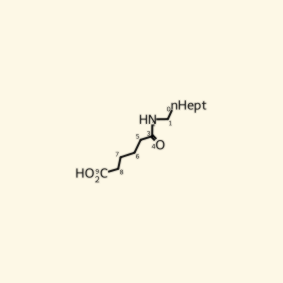 CCCCCCCCNC(=O)CCCCC(=O)O